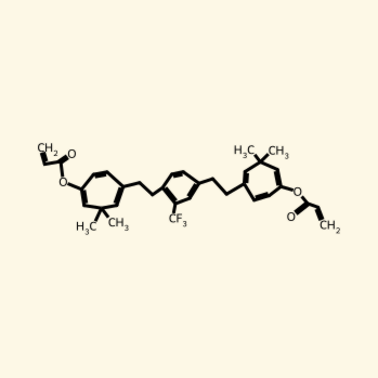 C=CC(=O)OC1=CC(C)(C)C=C(CCc2ccc(CCC3=CC(C)(C)C=C(OC(=O)C=C)C=C3)c(C(F)(F)F)c2)C=C1